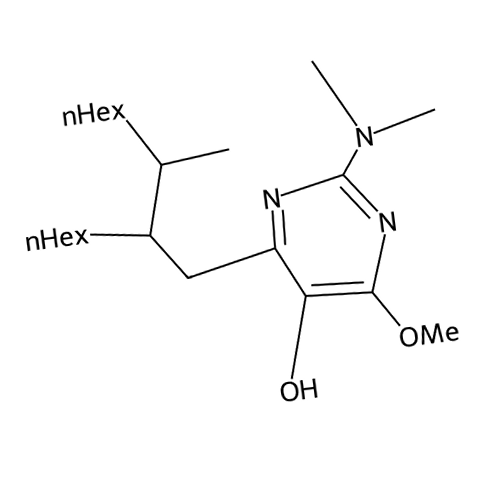 CCCCCCC(C)C(CCCCCC)Cc1nc(N(C)C)nc(OC)c1O